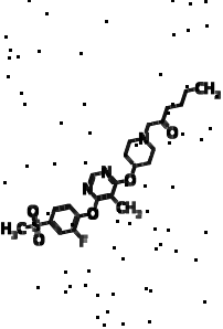 CCCCC(=O)CN1CCC(Oc2ncnc(Oc3ccc(S(C)(=O)=O)cc3F)c2C)CC1